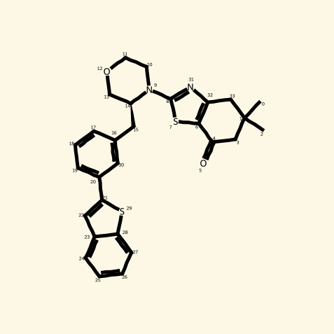 CC1(C)CC(=O)c2sc(N3CCOC[C@@H]3Cc3cccc(-c4cc5ccccc5s4)c3)nc2C1